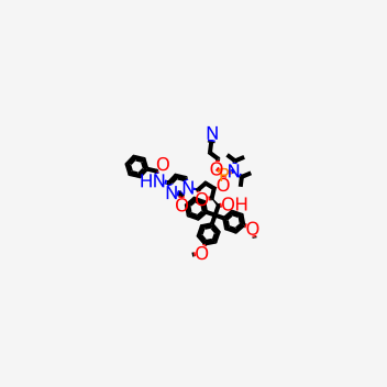 COc1ccc(C(c2ccccc2)(c2ccc(OC)cc2)C(O)[C@H]2O[C@@H](n3ccc(NC(=O)c4ccccc4)nc3=O)C[C@@H]2OP(OCCC#N)N(C(C)C)C(C)C)cc1